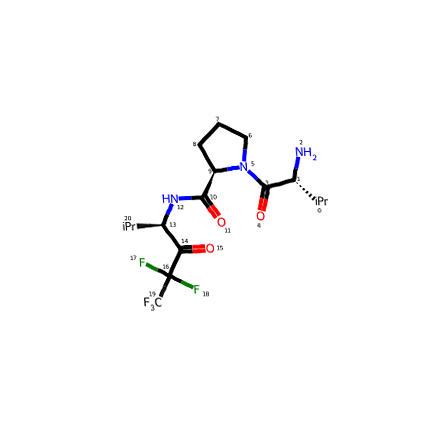 CC(C)[C@@H](N)C(=O)N1CCC[C@@H]1C(=O)N[C@@H](C(=O)C(F)(F)C(F)(F)F)C(C)C